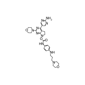 Nc1ncc(-c2nc(N3CCOCC3)nc3c2CCN3OC(=O)Nc2ccc(NCCCN3CCOCC3)cc2)cn1